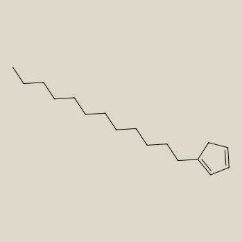 CCCCCCCCCCCCC1=CC=CC1